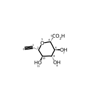 C#C[C@@H]1O[C@H](C(=O)O)[C@@H](O)[C@H](O)[C@H]1O